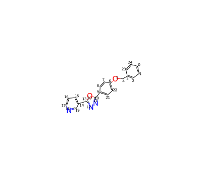 c1ccc(COc2ccc(-c3nnc(-c4cccnc4)o3)cc2)cc1